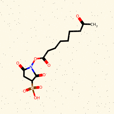 CC(=O)CCCCCCC(=O)ON1C(=O)CC(S(=O)(=O)O)C1=O